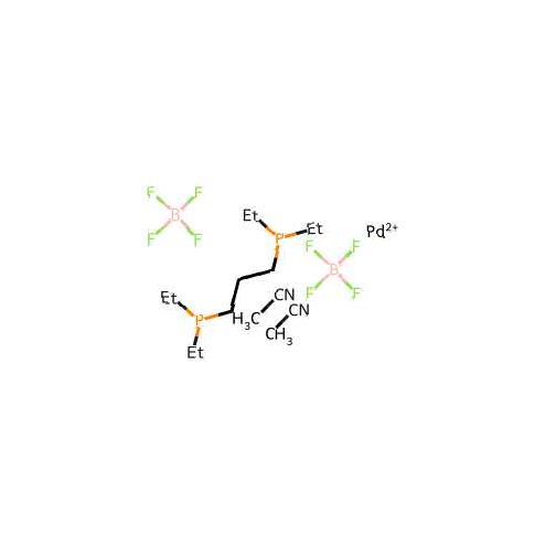 CC#N.CC#N.CCP(CC)CCCP(CC)CC.F[B-](F)(F)F.F[B-](F)(F)F.[Pd+2]